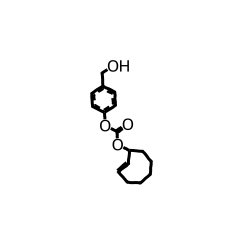 O=C(Oc1ccc(CO)cc1)OC1/C=C/CCCCC1